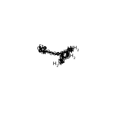 B[P@@]1(=O)OC[C@H]2O[C@@H](n3cnc4c(N)ccnc43)[C@H](F)[C@@H]2O[P@@](=O)(SCc2ccc(COCCOCCOCCn3nnc4c3-c3ccccc3CN(C(=O)CC)c3ccccc3-4)cc2)OC[C@H]2O[C@@H](n3cnc4c(N)ncnc43)[C@H](F)[C@@H]2O1